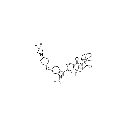 CC(=O)C1(NC(=O)c2cnc(-c3cn(C(C)C)c4cc(O[C@H]5CC[C@H](N6CC(F)(F)C6)CC5)ccc34)nc2C(C)(F)F)C2CC3CC(C2)CC1C3